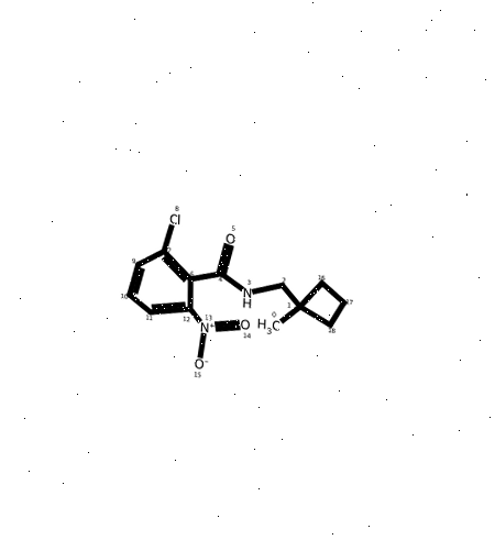 CC1(CNC(=O)c2c(Cl)cccc2[N+](=O)[O-])CCC1